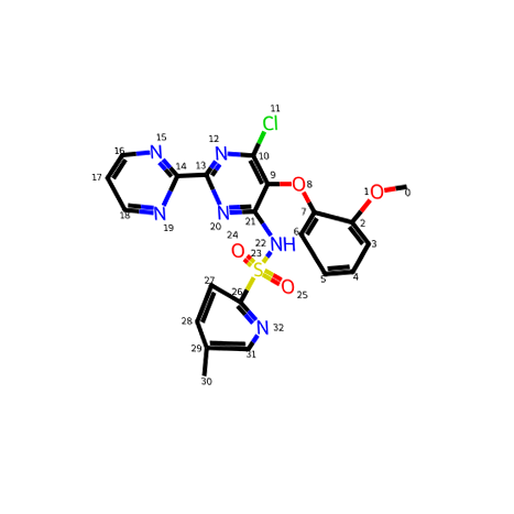 COc1ccccc1Oc1c(Cl)nc(-c2ncccn2)nc1NS(=O)(=O)c1ccc(C)cn1